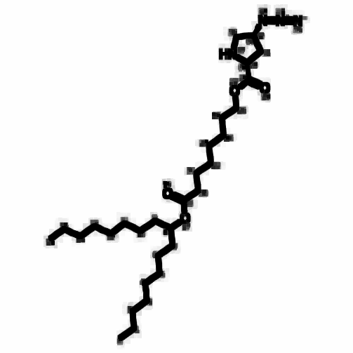 CCCCCCCCC(CCCCCCCC)OC(=O)CCCCCCCOC(=O)[C@@H]1C[C@H](N=[N+]=[N-])CN1